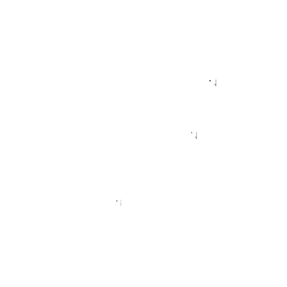 N#CN1CCCC(c2ccccn2)C1